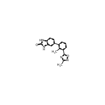 Cc1noc(-c2cccc(-c3ccc4[nH]c(=O)[nH]c4c3)c2C)n1